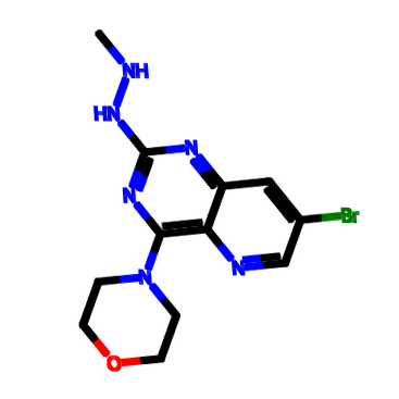 CNNc1nc(N2CCOCC2)c2ncc(Br)cc2n1